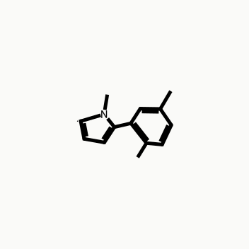 Cc1ccc(C)c(-c2cc[c]n2C)c1